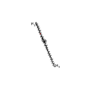 CCCCCCCCCCCCCCCCCCCCCCCCC(=O)OCCCCCCCCCCCCCCCC